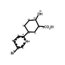 CCOC(=O)C1CC(c2ccc(Br)cn2)CCC1O